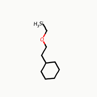 [SiH3]COCCC1CCCCC1